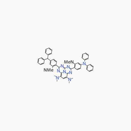 CNc1cc(N(c2ccccc2)c2ccccc2)ccc1C1=NC2=NC(c3ccc(C(c4ccccc4)c4ccccc4)cc3NC)=NC3=C(N(C)C)C=C(N(C)C)C(=N1)N23